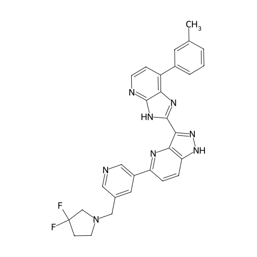 Cc1cccc(-c2ccnc3[nH]c(-c4n[nH]c5ccc(-c6cncc(CN7CCC(F)(F)C7)c6)nc45)nc23)c1